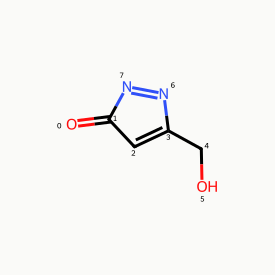 O=C1C=C(CO)N=N1